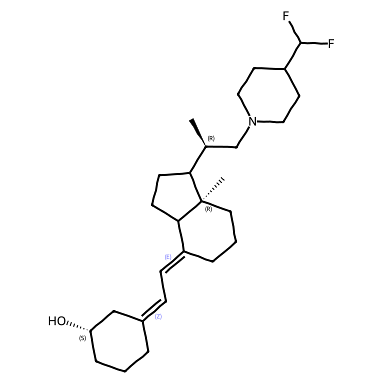 C[C@@H](CN1CCC(C(F)F)CC1)C1CCC2/C(=C/C=C3/CCC[C@H](O)C3)CCC[C@@]21C